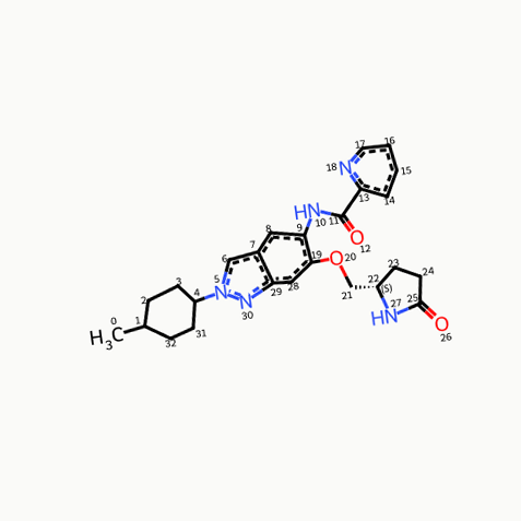 CC1CCC(n2cc3cc(NC(=O)c4ccccn4)c(OC[C@@H]4CCC(=O)N4)cc3n2)CC1